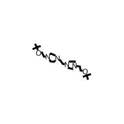 CC(C)(C)OCCN1CCN(CCN2CCN(CCOC(C)(C)C)CC2)CC1